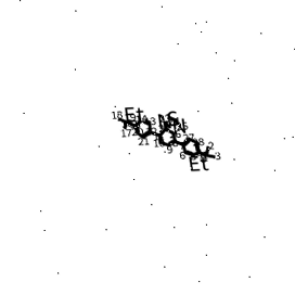 CCC(C)(C)c1ccc(-c2ccc(-c3ccc(C(C)(C)CC)cc3)c3nsnc23)cc1